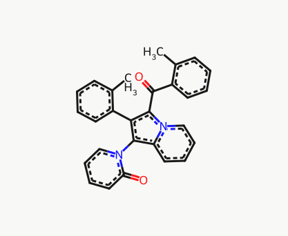 Cc1ccccc1C(=O)c1c(-c2ccccc2C)c(-n2ccccc2=O)c2ccccn12